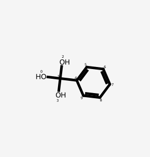 OC(O)(O)c1cc[c]cc1